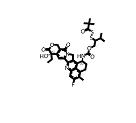 CC[C@@]1(O)C(=O)OCc2c1cc1n(c2=O)Cc2c-1nc1cc(F)c(C)c3c1c2[C@@H](NC(=O)OCC(SSC(=O)C(C)(C)C)C(C)C)CC3